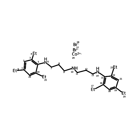 CCc1cc(CC)c(NCCCNCCCNc2c(CC)cc(CC)cc2CC)c(CC)c1.[Br-].[Br-].[Co+2]